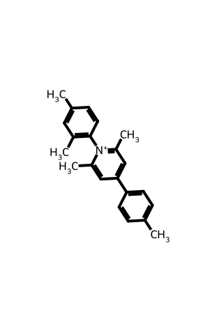 Cc1ccc(-c2cc(C)[n+](-c3ccc(C)cc3C)c(C)c2)cc1